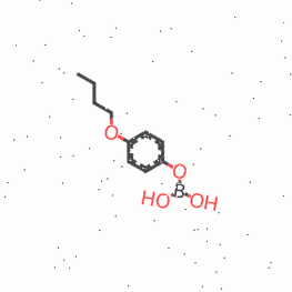 CCCCOc1ccc(OB(O)O)cc1